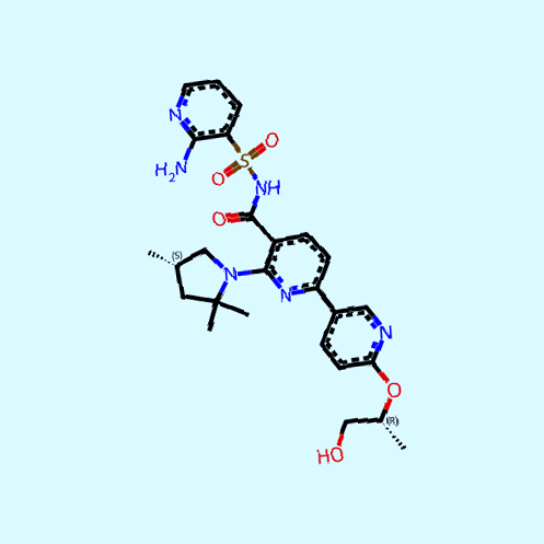 C[C@@H]1CN(c2nc(-c3ccc(O[C@H](C)CO)nc3)ccc2C(=O)NS(=O)(=O)c2cccnc2N)C(C)(C)C1